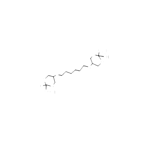 CC1(C(=O)O)OCC(SCCCCCCSC2COC(C)(C(=O)O)OC2)CO1